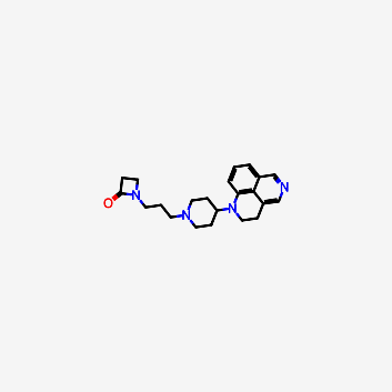 O=C1CCN1CCCN1CCC(N2CCc3cncc4cccc2c34)CC1